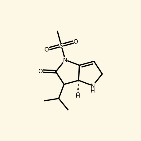 CC(C)C1C(=O)N(S(C)(=O)=O)C2=CCN[C@H]21